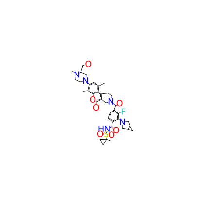 COC[C@H]1CN(c2cc(C)c3c4c(c(=O)oc3c2C)CN(C(=O)c2ccc(C(=O)NS(=O)(=O)C3(C)CC3)c(N3CC5CC5C3)c2F)CC4)CCN1C